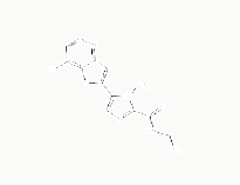 Cn1c(-c2cc3nccc(Cl)c3s2)cnc1C(=O)NCC(F)(F)F